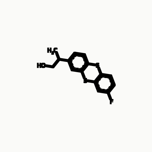 CC(CO)c1ccc2c(c1)Sc1cc(F)ccc1S2